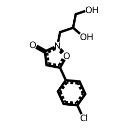 O=c1cc(-c2ccc(Cl)cc2)on1CC(O)CO